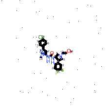 COCCN1C[C@@H](NC(=O)Nc2cc(-c3ccc(Cl)cc3)nn2C)[C@H](C2C=CC(F)=C(F)C2)C1